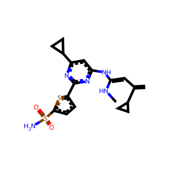 C=C(/C=C(\NC)Nc1cc(C2CC2)nc(-c2ccc(S(N)(=O)=O)s2)n1)C1CC1